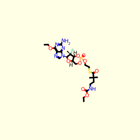 CCOC(=O)NCCC(C)(C)C(=O)SCCO[P@@]1(=O)OC[C@H]2O[C@@H](n3cnc4c(OCC)nc(N)nc43)[C@](C)(F)[C@@H]2O1